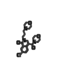 O=C(c1cn(CCCN2CCOCC2)c(=O)c2cc(Cl)ccc12)N1CCOCC1